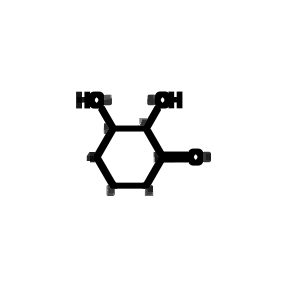 O=C1CCCC(O)C1O